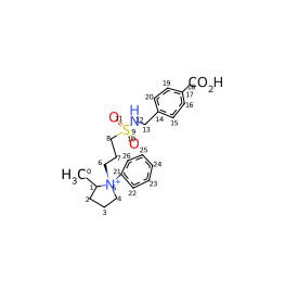 CC1CCC[N@@+]1(CCCS(=O)(=O)NCc1ccc(C(=O)O)cc1)c1ccccc1